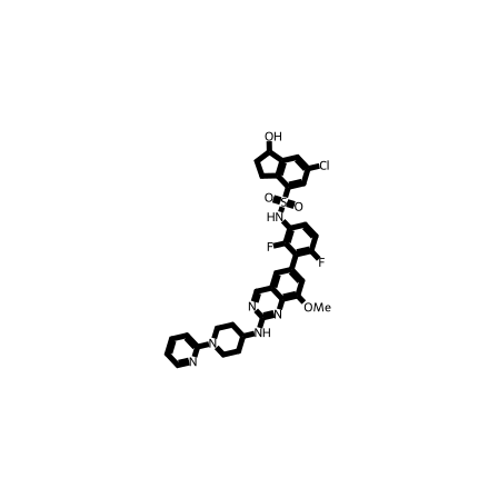 COc1cc(-c2c(F)ccc(NS(=O)(=O)c3cc(Cl)cc4c3CCC4O)c2F)cc2cnc(NC3CCN(c4ccccn4)CC3)nc12